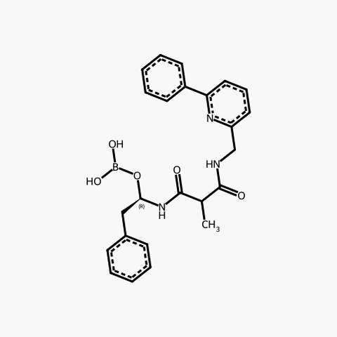 CC(C(=O)NCc1cccc(-c2ccccc2)n1)C(=O)N[C@@H](Cc1ccccc1)OB(O)O